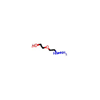 NNCCOCCO